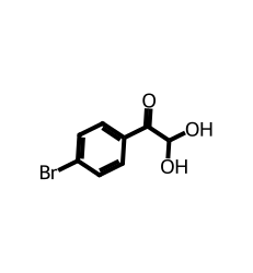 O=C(c1ccc(Br)cc1)C(O)O